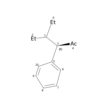 CCC(CC)[C@@H](C(C)=O)c1ccccc1